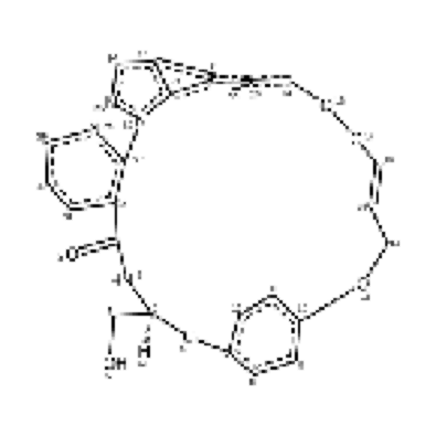 O=C1N[C@H](CO)Cc2ccc(cc2)OC/C=C/COc2ccc3c(cnn3-c3ncccc31)c2